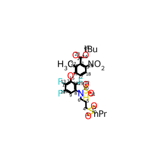 CCCS(=O)(=O)CCCN(c1cc(F)c(F)c(Oc2ccc([N+](=O)[O-])c(C(=O)OC(C)(C)C)c2C)c1F)[SH](=O)=O